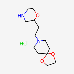 C1COC(CCN2CCC3(CC2)OCCO3)CN1.Cl